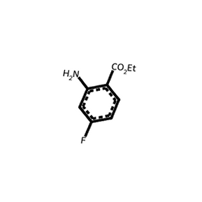 CCOC(=O)c1ccc(F)cc1N